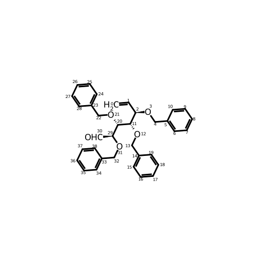 C=C[C@@H](OCc1ccccc1)[C@H](OCc1ccccc1)[C@@H](OCc1ccccc1)[C@H](C=O)OCc1ccccc1